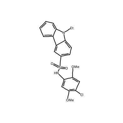 CCn1c2ccccc2c2cc(S(=O)(=O)Nc3cc(OC)c(Cl)cc3OC)ccc21